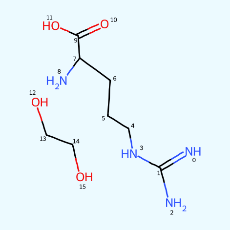 N=C(N)NCCCC(N)C(=O)O.OCCO